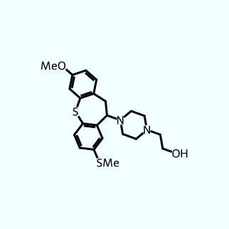 COc1ccc2c(c1)Sc1ccc(SC)cc1C(N1CCN(CCO)CC1)C2